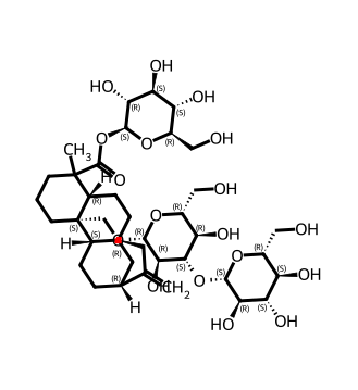 C=C1C[C@]23CC[C@H]4C(C)(C(=O)O[C@@H]5O[C@H](CO)[C@@H](O)[C@H](O)[C@H]5O)CCC[C@]4(CO[C@@H]4O[C@H](CO)[C@@H](O)[C@H](O[C@@H]5O[C@H](CO)[C@@H](O)[C@H](O)[C@H]5O)[C@H]4O)[C@H]2CC[C@@H]1C3